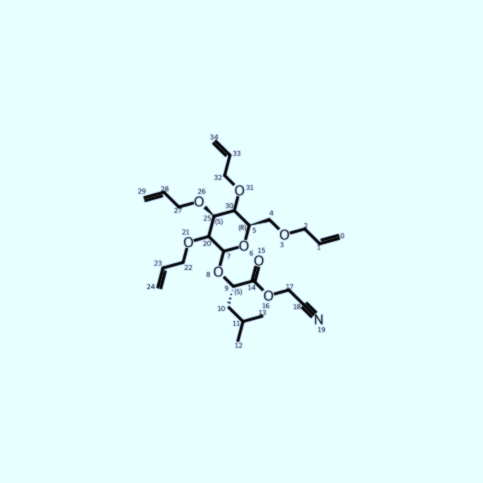 C=CCOC[C@H]1OC(O[C@@H](CC(C)C)C(=O)OCC#N)C(OCC=C)[C@@H](OCC=C)C1OCC=C